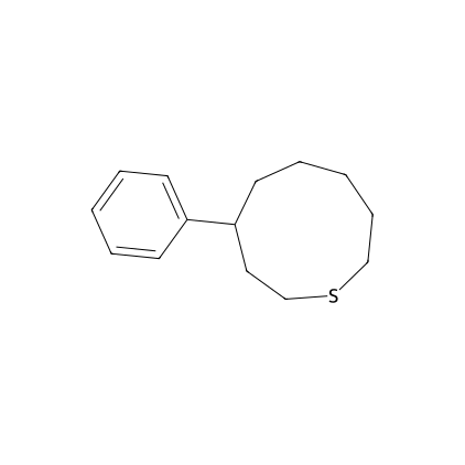 c1ccc(C2CCCCCSCC2)cc1